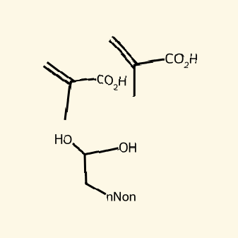 C=C(C)C(=O)O.C=C(C)C(=O)O.CCCCCCCCCCC(O)O